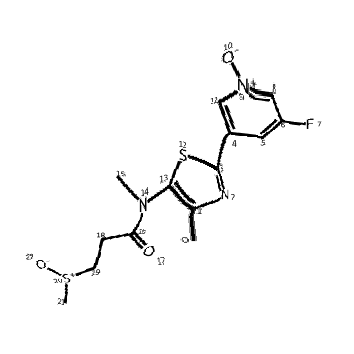 Cc1nc(-c2cc(F)c[n+]([O-])c2)sc1N(C)C(=O)CC[S+](C)[O-]